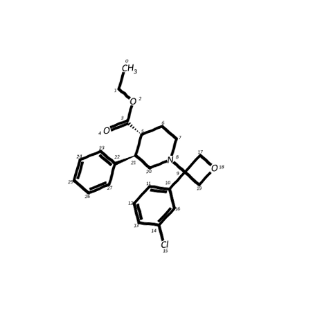 CCOC(=O)[C@@H]1CCN(C2(c3cccc(Cl)c3)COC2)C[C@H]1c1ccccc1